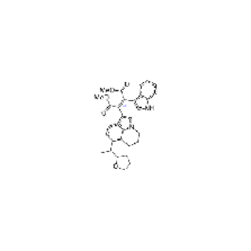 COC(=O)/C(=C(\C(=O)OC)c1cn2c3c(c(C(C)C4CCCO4)ccc13)CCC2)c1c[nH]c2ccccc12